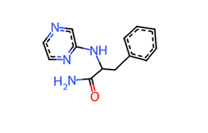 NC(=O)C(Cc1ccccc1)Nc1cnccn1